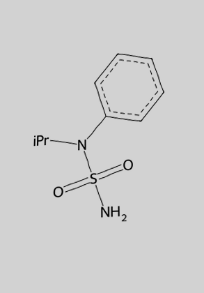 CC(C)N(c1ccccc1)S(N)(=O)=O